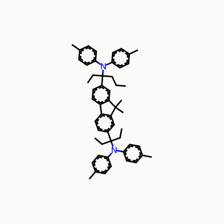 CCCC(CC)(c1ccc2c(c1)C(C)(C)c1cc(C(CC)(CC)N(c3ccc(C)cc3)c3ccc(C)cc3)ccc1-2)N(c1ccc(C)cc1)c1ccc(C)cc1